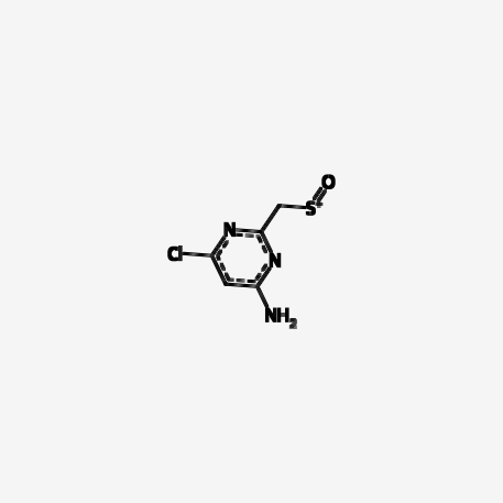 Nc1cc(Cl)nc(C[S+]=O)n1